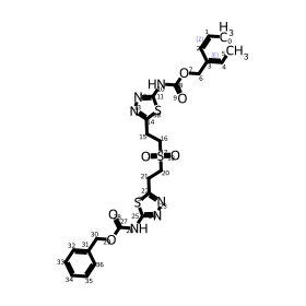 C/C=C\C(=C/C)COC(=O)Nc1nnc(CCS(=O)(=O)CCc2nnc(NC(=O)OCc3ccccc3)s2)s1